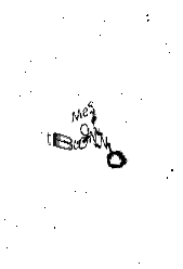 CSCC[C@H]1CN(Cc2ccccc2)CCN1C(=O)OC(C)(C)C